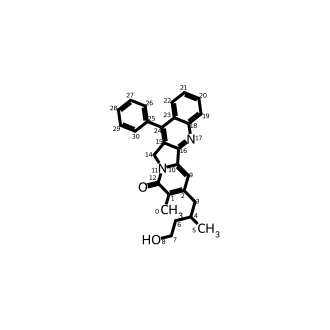 Cc1c(CC(C)CCO)cc2n(c1=O)Cc1c-2nc2ccccc2c1-c1ccccc1